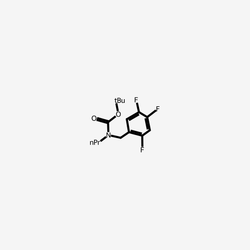 CCCN(Cc1cc(F)c(F)cc1F)C(=O)OC(C)(C)C